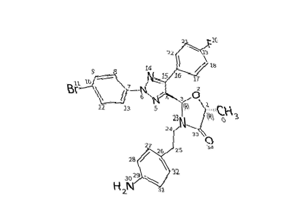 C[C@H]1O[C@H](c2nn(-c3ccc(Br)cc3)nc2-c2ccc(F)cc2)N(CCc2ccc(N)cc2)C1=O